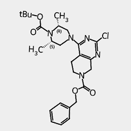 C[C@@H]1CN(c2nc(Cl)nc3c2CCN(C(=O)OCc2ccccc2)C3)C[C@H](C)N1C(=O)OC(C)(C)C